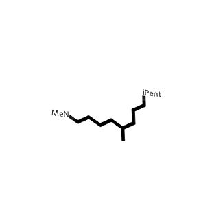 [CH2]CCC(C)CCCC(C)CCCCNC